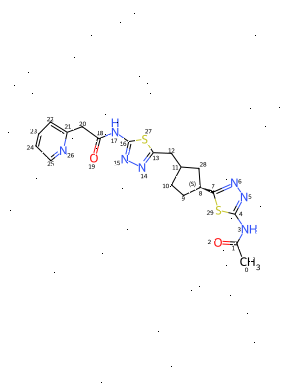 CC(=O)Nc1nnc([C@H]2CCC(Cc3nnc(NC(=O)Cc4ccccn4)s3)C2)s1